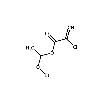 C=C(Cl)C(=O)OC(C)OCC